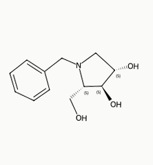 OC[C@H]1[C@H](O)[C@@H](O)CN1Cc1ccccc1